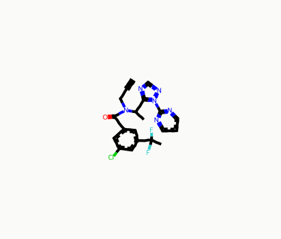 C#CCN(C(=O)c1cc(Cl)cc(C(C)(F)F)c1)C(C)c1ncnn1-c1ncccn1